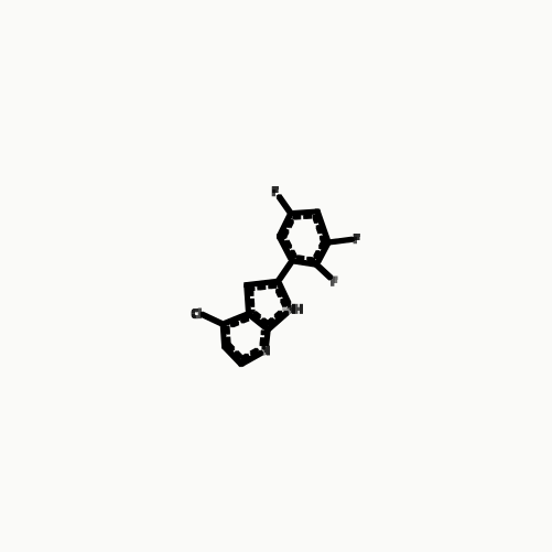 Fc1cc(F)c(F)c(-c2cc3c(Cl)ccnc3[nH]2)c1